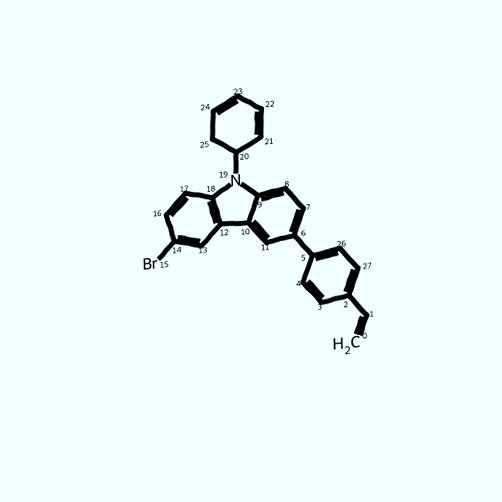 C=Cc1ccc(-c2ccc3c(c2)c2cc(Br)ccc2n3C2C=CC=CC2)cc1